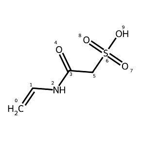 C=CNC(=O)CS(=O)(=O)O